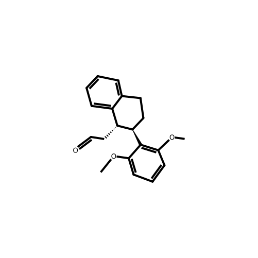 COc1cccc(OC)c1[C@@H]1CCc2ccccc2[C@H]1CC=O